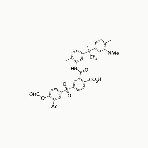 CNc1cc(C(C)(c2ccc(C)c(NC(=O)c3cc(S(=O)(=O)c4ccc(OC=O)c(C(C)=O)c4)ccc3C(=O)O)c2)C(F)(F)F)ccc1C